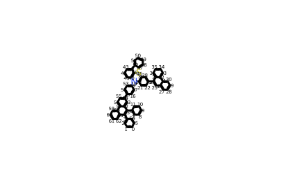 c1ccc(-c2c(-c3ccccc3)c3cc(-c4ccc(N(c5ccc(-c6cc7ccccc7c7ccccc67)cc5)c5cccc6c5sc5ccccc56)cc4)ccc3c3ccccc23)cc1